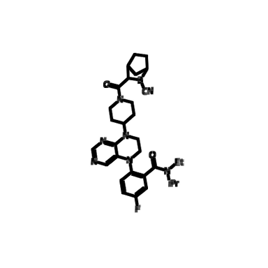 CCN(C(=O)c1cc(F)ccc1N1CCN(C2CCN(C(=O)C3B(C#N)C4CCC3C4)CC2)c2ncncc21)C(C)C